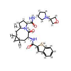 O=C(N[C@H]1C[C@@H]2C[C@@H]2C[C@H]2CC[C@@H](C(=O)N[C@@H]3CCN(C4COC4)C3)N2C1=O)c1cc2ccccc2s1